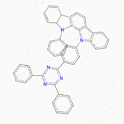 C1=CC2c3ccc4c5ccccc5n(-c5ccc(-c6nc(-c7ccccc7)nc(-c7ccccc7)n6)cc5)c4c3N(c3ccccc3)C2C=C1